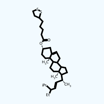 CCC(/C=C/[C@@H](C)C1CCC2C3CC=C4C[C@@H](OC(=O)CCCCC5CCSS5)CC[C@]4(C)C3CC[C@@]21C)C(C)C